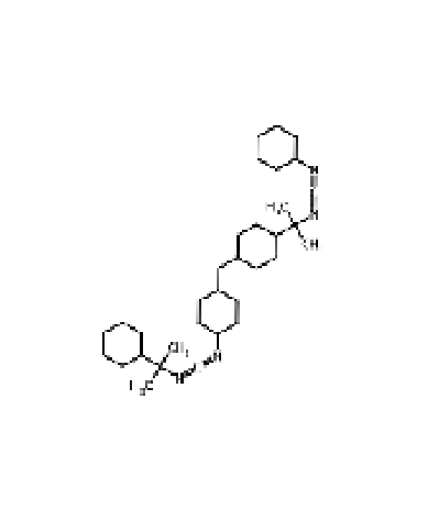 CC(C)(N=C=NC1CCC(CC2CCC(C(C)(C)N=C=NC3CCCCC3)CC2)CC1)C1CCCCC1